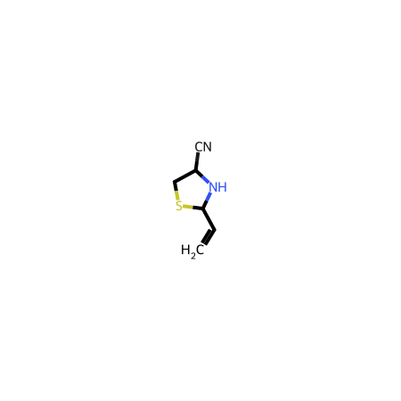 C=CC1NC(C#N)CS1